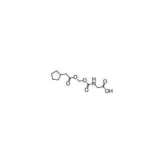 O=C(O)CNC(=O)OCOC(=O)CC1CCCC1